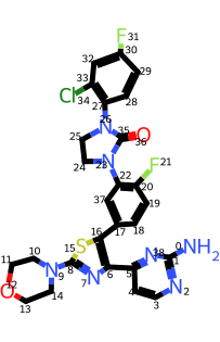 Nc1nccc(-c2nc(N3CCOCC3)sc2-c2ccc(F)c(N3CCN(c4ccc(F)cc4Cl)C3=O)c2)n1